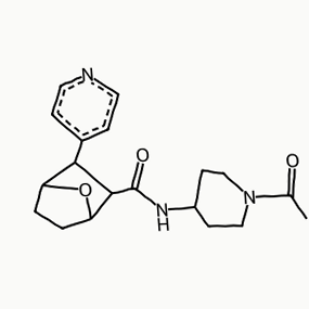 CC(=O)N1CCC(NC(=O)C2C3CCC(O3)C2c2ccncc2)CC1